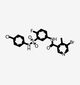 Cc1c(Br)cncc1C(=O)Nc1ccc(F)c(S(=O)(=O)Nc2ccc(Cl)cc2)c1